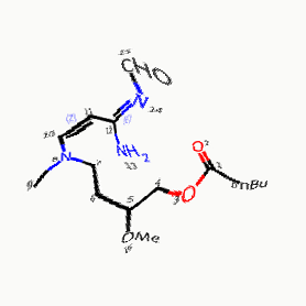 CCCCC(=O)OCC(CCN(C)/C=C\C(N)=N/C=O)OC